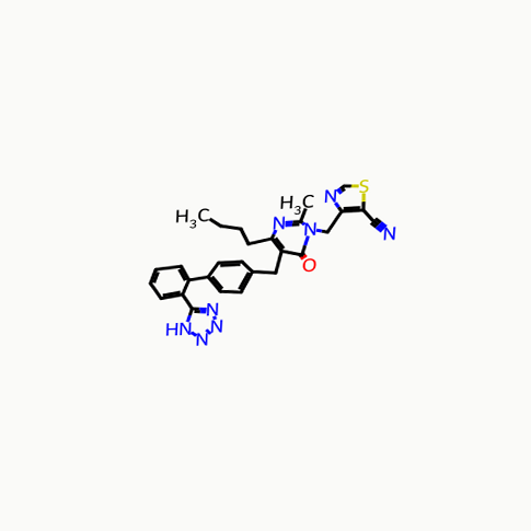 CCCCc1nc(C)n(Cc2ncsc2C#N)c(=O)c1Cc1ccc(-c2ccccc2-c2nnn[nH]2)cc1